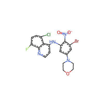 O=[N+]([O-])c1c(Br)cc(N2CCOCC2)cc1Nc1ccnc2c(F)ccc(Cl)c12